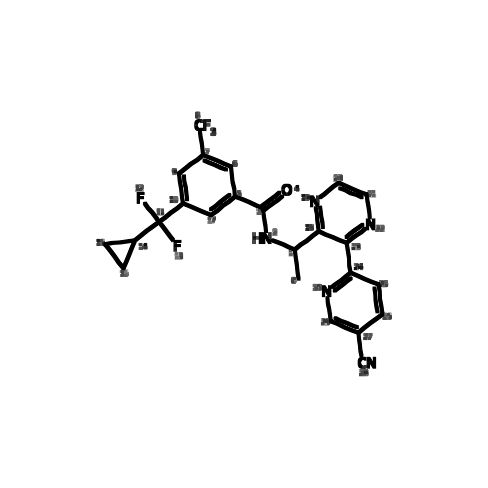 CC(NC(=O)c1cc(C(F)(F)F)cc(C(F)(F)C2CC2)c1)c1nccnc1-c1ccc(C#N)cn1